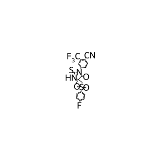 C[C@@]1(CS(=O)(=O)c2ccc(F)cc2)NC(=S)N(c2ccc(C#N)c(C(F)(F)F)c2)C1=O